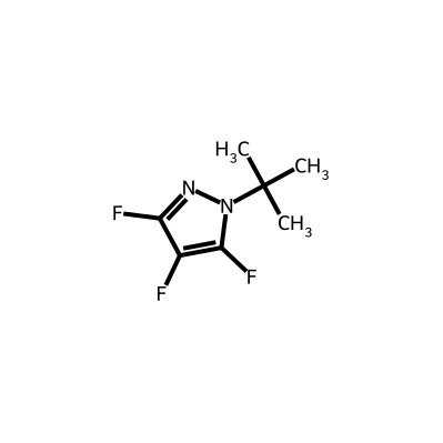 CC(C)(C)n1nc(F)c(F)c1F